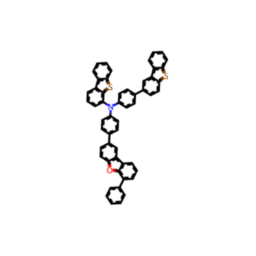 c1ccc(-c2cccc3c2oc2ccc(-c4ccc(N(c5ccc(-c6ccc7sc8ccccc8c7c6)cc5)c5cccc6c5sc5ccccc56)cc4)cc23)cc1